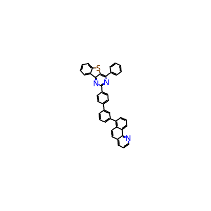 c1ccc(-c2nc(-c3ccc(-c4cccc(-c5cccc6c5ccc5cccnc56)c4)cc3)nc3c2sc2ccccc23)cc1